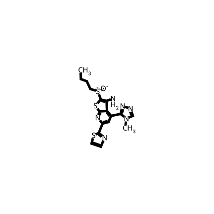 CCCC[S@@+]([O-])c1sc2nc(-c3nccs3)cc(-c3nncn3C)c2c1N